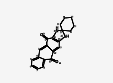 O=C1C2=Cc3ccccc3C(=O)C2=CC2=C1NC1(CCCCC1)N2